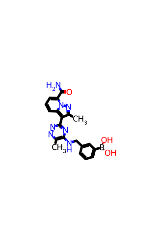 Cc1nnc(-c2c(C)nn3c(C(N)=O)cccc23)nc1NCc1cccc(B(O)O)c1